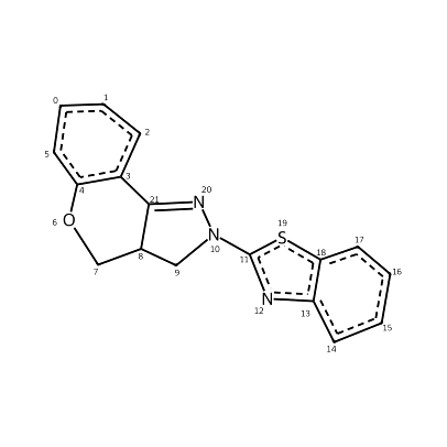 c1ccc2c(c1)OCC1CN(c3nc4ccccc4s3)N=C21